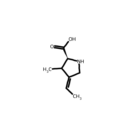 CC=C1CN[C@H](C(=O)O)C1C